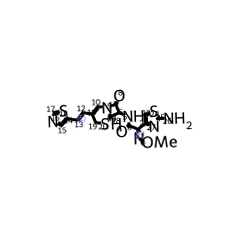 CO/N=C(/C(=O)NC1C(=O)N2C=C(/C=C/c3cncs3)CS[C@H]12)c1csc(N)n1